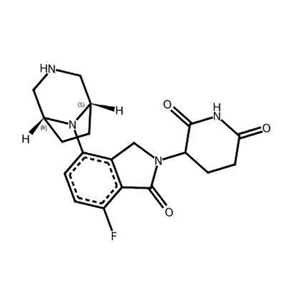 O=C1CCC(N2Cc3c(N4[C@@H]5CC[C@H]4CNC5)ccc(F)c3C2=O)C(=O)N1